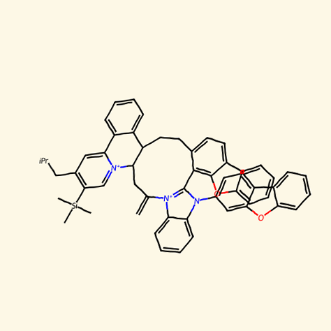 C=C1CC2C(CCc3ccc4c(oc5ccccc54)c3-c3n(-c4ccc5c(c4)oc4ccccc45)c4ccccc4[n+]31)c1ccccc1-c1cc(CC(C)C)c([Si](C)(C)C)c[n+]12